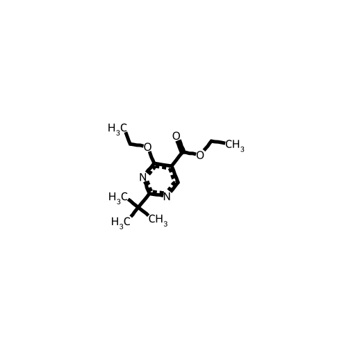 CCOC(=O)c1cnc(C(C)(C)C)nc1OCC